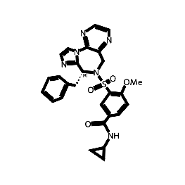 COc1ccc(C(=O)NC2CC2)cc1S(=O)(=O)N1Cc2nccnc2-n2ccnc2[C@H]1Cc1ccccc1